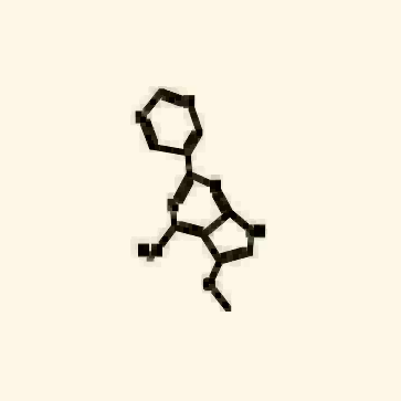 COc1c[nH]c2nc(-c3cncnc3)nc(N)c12